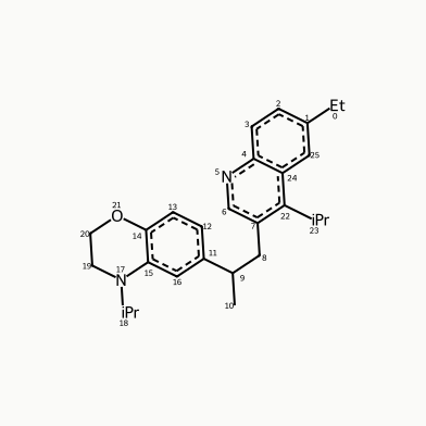 CCc1ccc2ncc(CC(C)c3ccc4c(c3)N(C(C)C)CCO4)c(C(C)C)c2c1